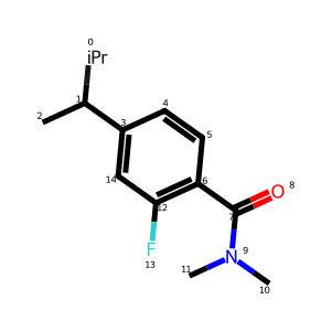 CC(C)C(C)c1ccc(C(=O)N(C)C)c(F)c1